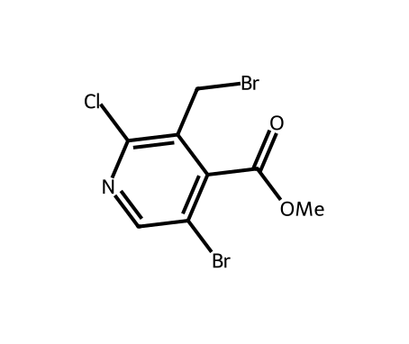 COC(=O)c1c(Br)cnc(Cl)c1CBr